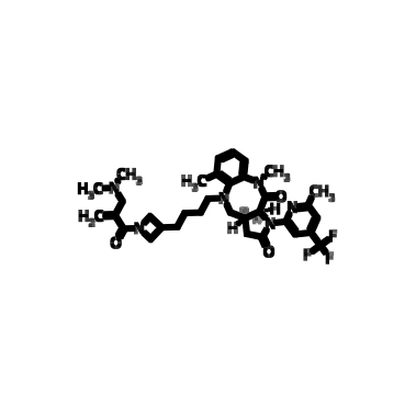 C=C(CN(C)C)C(=O)N1CC(CCCCN2C[C@H]3CC(=O)N(c4cc(C(F)(F)F)cc(C)n4)[C@@H]3C(=O)N(C)c3cccc(C)c32)C1